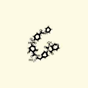 Cn1c(=O)n(-c2ccc(C[C@H](NC(=O)c3c(F)cc(NS(=O)(=O)c4ccc(C(=O)NC5CCCC5)cc4)cc3F)C(=O)O)cc2)c(=O)c2ccncc21